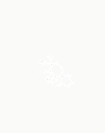 CC1(O)CCC2(OCCO2)C(C)(C)C1=O